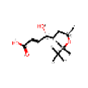 C[C@H](CC[C@@H](O)C=CC(=O)O)O[Si](C)(C)C(C)(C)C